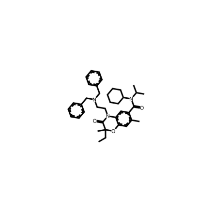 CCC1(C)Oc2cc(C)c(C(=O)N(C(C)C)C3CCCCC3)cc2N(CCN(Cc2ccccc2)Cc2ccccc2)C1=O